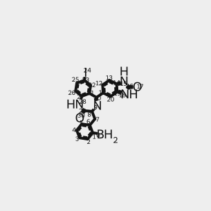 Bc1ccccc1CC1N=C(c2ccc3[nH]c(=O)[nH]c3c2)c2cc(I)ccc2NC1=O